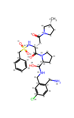 C[C@@H]1CCN(C(=O)C[C@@H](NS(=O)(=O)Cc2ccccc2)C(=O)N2CCC[C@H]2C(O)NCc2cc(Cl)ccc2CN)C1